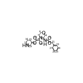 O=C(N[C@@H]1COCCN1C(=O)C(=O)O[C@@H]1CCCNC1)OCc1ccccc1